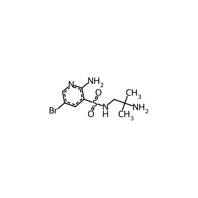 CC(C)(N)CNS(=O)(=O)c1cc(Br)cnc1N